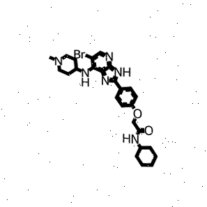 CN1CCC(Nc2c(Br)cnc3[nH]c(-c4ccc(OCC(=O)NC5CCCCC5)cc4)nc23)CC1